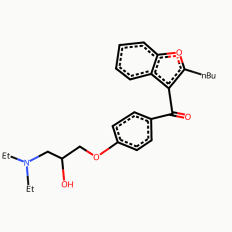 CCCCc1oc2ccccc2c1C(=O)c1ccc(OCC(O)CN(CC)CC)cc1